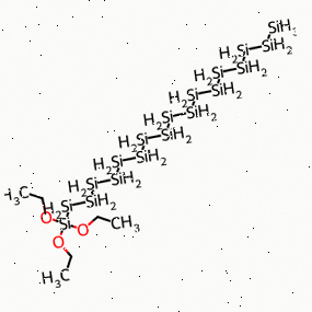 CCO[Si](OCC)(OCC)[SiH2][SiH2][SiH2][SiH2][SiH2][SiH2][SiH2][SiH2][SiH2][SiH2][SiH2][SiH2][SiH2][SiH2][SiH2][SiH2][SiH3]